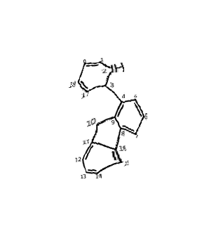 C1=C[IH]C(c2cccc3c2Cc2ccccc2-3)C=C1